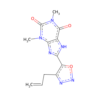 C=CCc1nnoc1-c1nc2c([nH]1)c(=O)n(C)c(=O)n2C